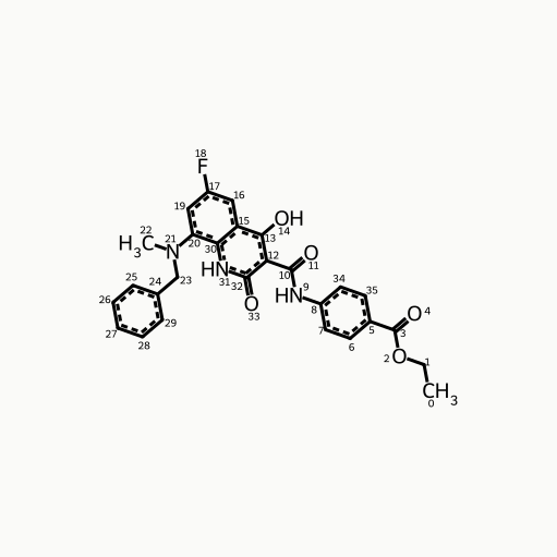 CCOC(=O)c1ccc(NC(=O)c2c(O)c3cc(F)cc(N(C)Cc4ccccc4)c3[nH]c2=O)cc1